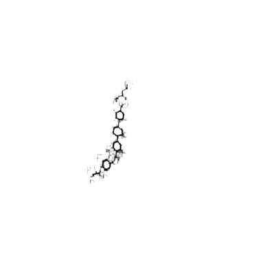 CCCC1COC(c2ccc(-c3ccc(-c4cc(F)c(C(F)(F)Oc5cc(F)c(OC(F)=C(F)F)c(F)c5)c(F)c4)c(F)c3)cc2)OC1